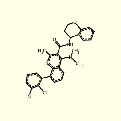 Cc1nc2c(-c3cccc(Cl)c3Cl)cccc2c(N(C)C)c1C(=O)NC1CCOc2ccccc21